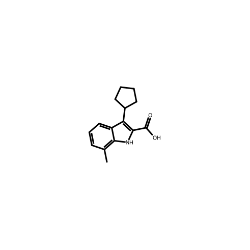 Cc1cccc2c(C3CCCC3)c(C(=O)O)[nH]c12